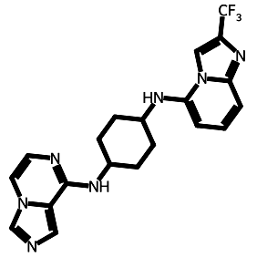 FC(F)(F)c1cn2c(NC3CCC(Nc4nccn5cncc45)CC3)cccc2n1